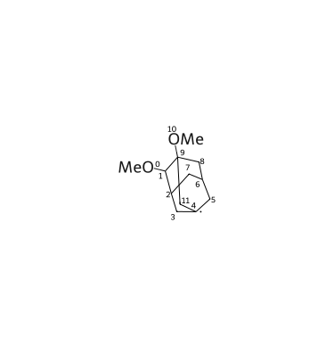 COC1C2C[C]3CC(C2)CC1(OC)C3